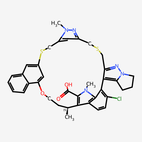 C[C@H]1CCOc2cc(cc3ccccc23)SCc2cc(nn2C)CSCc2nn3c(c2-c2c(Cl)ccc4c1c(C(=O)O)n(C)c24)CCC3